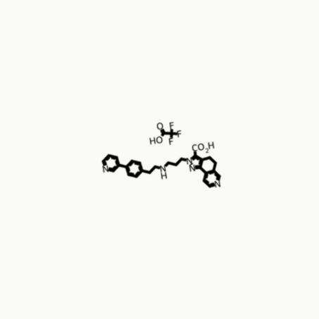 O=C(O)C(F)(F)F.O=C(O)c1c2c(nn1CCCNCCc1ccc(-c3cccnc3)cc1)-c1ccncc1CC2